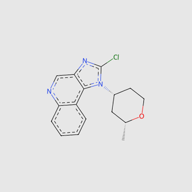 C[C@@H]1C[C@H](n2c(Cl)nc3cnc4ccccc4c32)CCO1